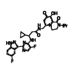 CC(C)N1CCn2c(CNC(=O)CC(Nc3nc(-c4n[nH]c5ccc(F)cc45)ncc3F)C3CC3)cc(=O)c(O)c2C1=O